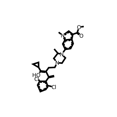 C=C(/C(CCN1CCN(c2ccc3c(C(=O)OC)cn(C)c3c2)C(C)C1)=C(\O)C1CC1)c1c(Cl)cccc1Cl